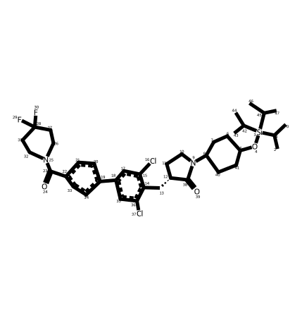 CC(C)[Si](OC1CCC(N2CC[C@@H](Cc3c(Cl)cc(-c4ccc(C(=O)N5CCC(F)(F)CC5)cc4)cc3Cl)C2=O)CC1)(C(C)C)C(C)C